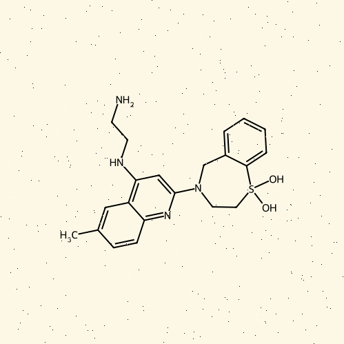 Cc1ccc2nc(N3CCS(O)(O)c4ccccc4C3)cc(NCCN)c2c1